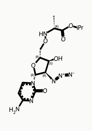 CC(C)OC(=O)[C@@H](C)NOC[C@H]1O[C@@H](n2ccc(N)nc2=O)[C@H](N=[N+]=[N-])[C@@H]1O